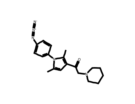 Cc1cc(C(=O)CN2CCCCC2)c(C)n1-c1ccc(N=[N+]=[N-])cc1